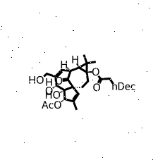 CCCCCCCCCCCC(=O)O[C@@]12CC[C@]34C=C(C)[C@H](OC(C)=O)[C@@]3(O)[C@H](O)C(CO)=C[C@H](C4=O)[C@@H]1C2(C)C